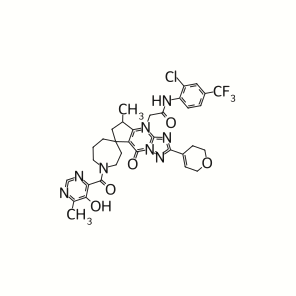 Cc1ncnc(C(=O)N2CCCC3(CC2)CC(C)c2c3c(=O)n3nc(C4=CCOCC4)nc3n2CC(=O)Nc2ccc(C(F)(F)F)cc2Cl)c1O